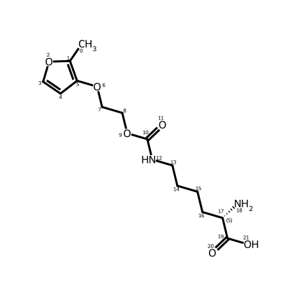 Cc1occc1OCCOC(=O)NCCCC[C@H](N)C(=O)O